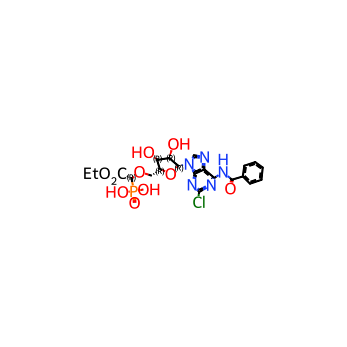 CCOC(=O)[C@H](OC[C@H]1O[C@@H](n2cnc3c(NC(=O)c4ccccc4)nc(Cl)nc32)[C@H](O)[C@H]1O)P(=O)(O)O